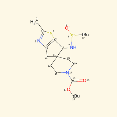 Cc1nc2c(s1)[C@H](N[S+]([O-])C(C)(C)C)C1(CCN(C(=O)OC(C)(C)C)CC1)C2